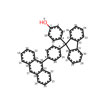 Oc1ccc(C2(c3ccc(-c4c5ccccc5cc5ccccc45)cc3)c3ccccc3-c3ccccc32)cc1